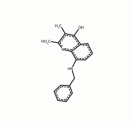 Cc1c(C(=O)O)nc2c(NCc3ccccc3)cccc2c1O